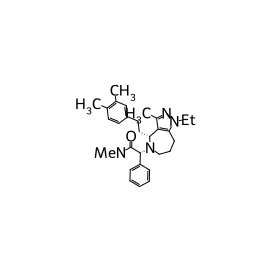 CCn1nc(C)c2c1CCCN([C@@H](C(=O)NC)c1ccccc1)[C@@H]2CCc1ccc(C)c(C)c1